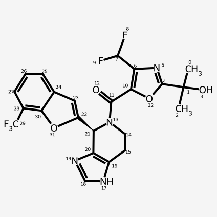 CC(C)(O)c1nc(C(F)F)c(C(=O)N2CCc3[nH]cnc3[C@H]2c2cc3cccc(C(F)(F)F)c3o2)o1